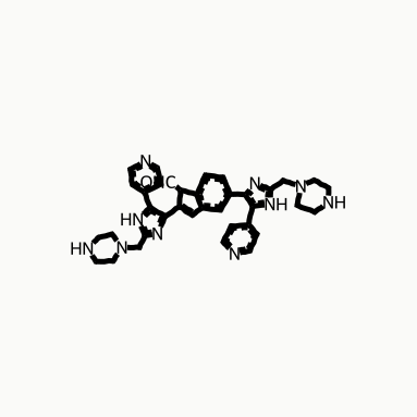 O=CC1C(c2nc(CN3CCNCC3)[nH]c2-c2ccncc2)=Cc2cc(-c3nc(CN4CCNCC4)[nH]c3-c3ccncc3)ccc21